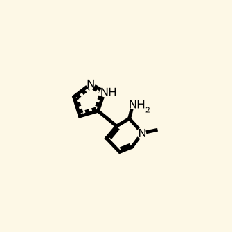 CN1C=CC=C(c2ccn[nH]2)C1N